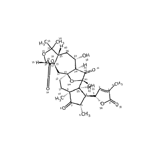 CC1=C[C@@H]([C@H]2[C@H](C)C(=O)[C@@]3(C)CC[C@]45C[C@]67OC(=O)C[C@H]6OC(C)(C)[C@@H]7C[C@H](O)[C@H]4C(=O)[C@@](O)(O5)[C@@H]23)OC1=O